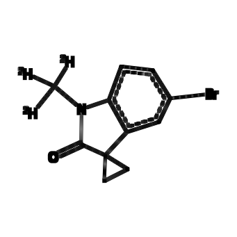 [2H]C([2H])([2H])N1C(=O)C2(CC2)c2cc(Br)ccc21